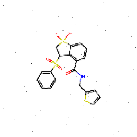 O=C(NCc1cccs1)c1cccc2c1C(S(=O)(=O)c1ccccc1)CS2(O)O